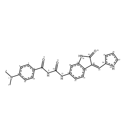 CN(C)c1ccc(C(=O)NC(=O)Nc2ccc3c(c2)NC(=O)/C3=C\c2ccc[nH]2)cc1